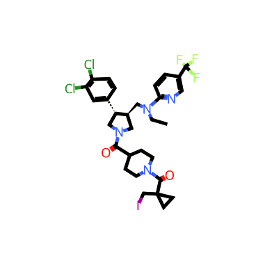 CCN(C[C@H]1CN(C(=O)C2CCN(C(=O)C3(CI)CC3)CC2)C[C@@H]1c1ccc(Cl)c(Cl)c1)c1ccc(C(F)(F)F)cn1